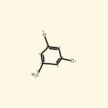 Cc1cc([O])cc(Cl)c1